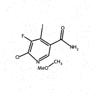 COC.NC(=O)c1cnc(Cl)c(F)c1I